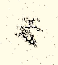 CCO[Si](CC[Si](C)(C)O[Si](C)(C)CCCC1CC(=O)OC1=O)(OCC)OCC